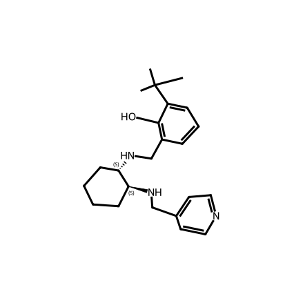 CC(C)(C)c1cccc(CN[C@H]2CCCC[C@@H]2NCc2ccncc2)c1O